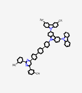 N#Cc1cccc(-c2cc(-c3ccc(-c4ccc(-c5ccc(-n6c7ccc(-n8c9ccccc9c9ccccc98)cc7c7cc(-n8c9ccc(C#N)cc9c9cc(C#N)ccc98)ccc76)cc5)cc4)cc3)nc(-c3cccc(C#N)c3)n2)c1